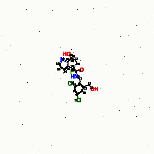 O=C(NCc1c(Cl)cc(Cl)cc1CO)[C@]1(F)CC[C@H](O)c2ncccc21